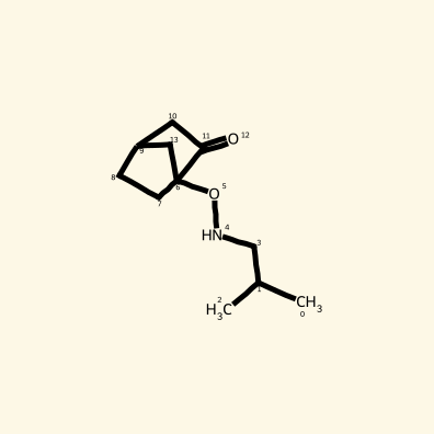 CC(C)CNOC12CCC(CC1=O)C2